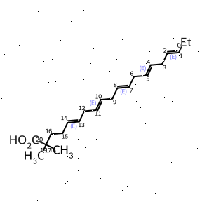 CC/C=C/C/C=C/C/C=C/C/C=C/C/C=C/CCC(C)(C)C(=O)O